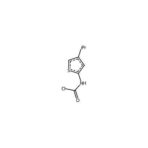 CC(C)c1csc(NC(=O)Cl)c1